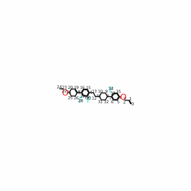 C=CCOc1ccc(C2CCC(CCc3ccc(C4=CCC(OCC)CC4)c(F)c3F)CC2)c(F)c1